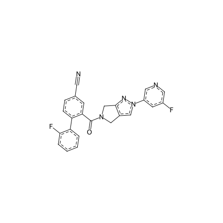 N#Cc1ccc(-c2ccccc2F)c(C(=O)N2Cc3cn(-c4cncc(F)c4)nc3C2)c1